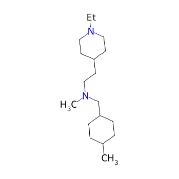 CCN1CCC(CCN(C)CC2CCC(C)CC2)CC1